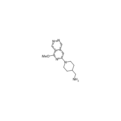 COc1nc(N2CCC(CN)CC2)cc2cnncc12